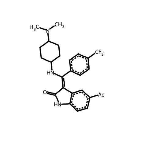 CC(=O)c1ccc2c(c1)/C(=C(/NC1CCC(N(C)C)CC1)c1ccc(C(F)(F)F)cc1)C(=O)N2